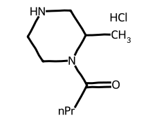 CCCC(=O)N1CCNCC1C.Cl